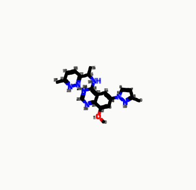 COc1cc(-n2ccc(C)n2)cc2c(NC(C)c3ccc(C)nn3)ncnc12